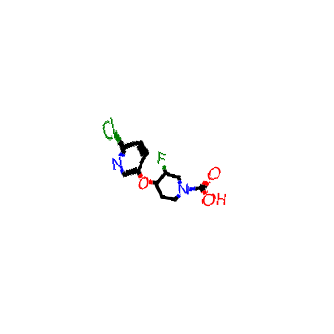 O=C(O)N1CCC(Oc2ccc(Cl)nc2)C(F)C1